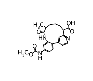 COC(=O)Nc1ccc2c(c1)NC(=O)C(C)CCCC(C(=O)O)c1cc-2ccn1